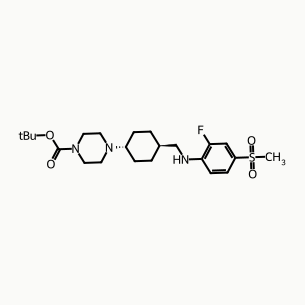 CC(C)(C)OC(=O)N1CCN([C@H]2CC[C@H](CNc3ccc(S(C)(=O)=O)cc3F)CC2)CC1